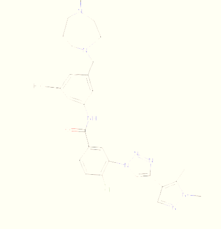 Cc1c(-c2cn(-c3cc(C(=O)Nc4cc(CN5CCCN(C)CC5)cc(C(F)(F)F)c4)ccc3Cl)nn2)cnn1C